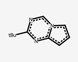 CC(C)(C)c1ncn2cccc2n1